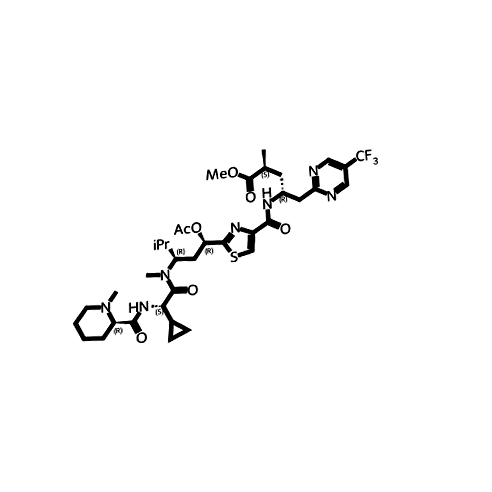 COC(=O)[C@@H](C)C[C@H](Cc1ncc(C(F)(F)F)cn1)NC(=O)c1csc([C@@H](C[C@H](C(C)C)N(C)C(=O)[C@@H](NC(=O)[C@H]2CCCCN2C)C2CC2)OC(C)=O)n1